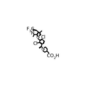 C=C(c1ccc(Cl)c(Cn2cc(C)c3cc(C(F)(F)F)nc(C)c32)c1Cl)N1CCC(CC(=O)O)CC1